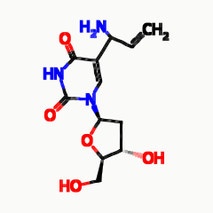 C=CC(N)c1cn([C@H]2C[C@H](O)[C@@H](CO)O2)c(=O)[nH]c1=O